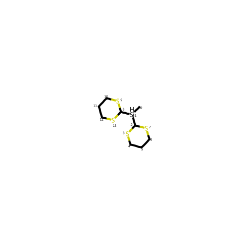 C[SiH](C1SCCCS1)C1SCCCS1